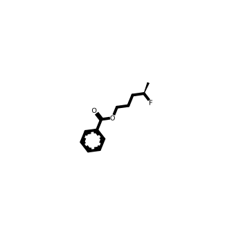 C[C@@H](F)CCCOC(=O)c1ccccc1